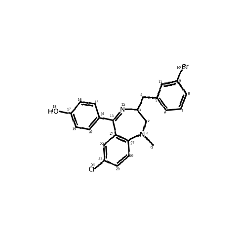 CN1CC(Cc2cccc(Br)c2)N=C(c2ccc(O)cc2)c2cc(Cl)ccc21